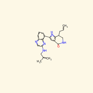 C=CCC1CNC(=O)c2cc(-c3cccc4ncc(NCC(=C)C)nc34)[nH]c21